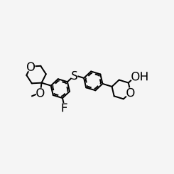 COC1(c2cc(F)cc(Sc3ccc(C4CCOC(O)C4)cc3)c2)CCOCC1